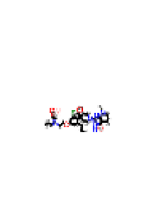 CCCc1cc(OCCN(CCC)CCO)cc(F)c1C1(C=O)CCN(c2nc3c(c(=O)[nH]2)CCCN3C)CC1